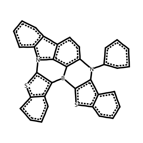 c1ccc(N2c3ccc4c5ccccc5n5c4c3B(c3sc4ccccc4c32)c2c-5sc3ccccc23)cc1